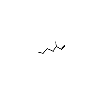 C=CC(I)OCCC